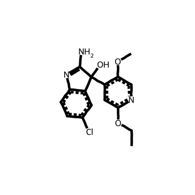 CCOc1cc(C2(O)C(N)=Nc3ccc(Cl)cc32)c(OC)cn1